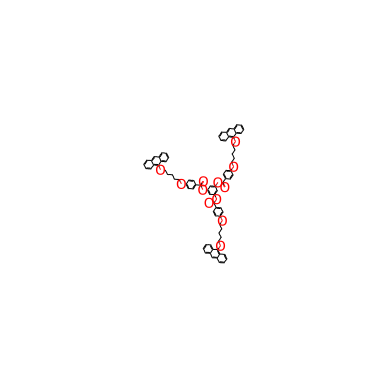 O=C(Oc1cc(OC(=O)c2ccc(OCCCCCOc3c4ccccc4cc4ccccc34)cc2)cc(OC(=O)c2ccc(OCCCCCOc3c4ccccc4cc4ccccc34)cc2)c1)c1ccc(OCCCCCOc2c3ccccc3cc3ccccc23)cc1